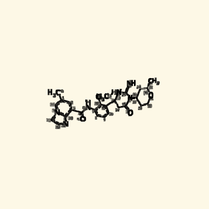 Cc1cc(C(=O)Nc2cccc([C@]3(C)CC(=O)N([C@@H]4CCO[C@H](C)C4)C(=N)N3)c2Cl)c2nccn2c1